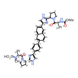 COC(=O)N[C@H](C(=O)N1CCCC1c1nc(-c2ccc3cc(-c4ccc(-c5c[nH]c([C@@H]6CCCN6C(=O)[C@H](C(C)C)N(C)C(=O)O)n5)cc4)ccc3c2)c[nH]1)C(C)C